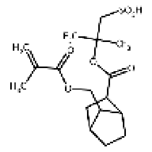 C=C(C)C(=O)OCC1C2CCC1C(C(=O)OC(CS(=O)(=O)O)(C(F)(F)F)C(F)(F)F)C2